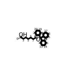 C[C@H](O)CCCCCCOC(c1ccccc1)(c1ccccc1)c1ccccc1